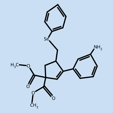 COC(=O)C1(C(=O)OC)C=C(c2cccc(N)c2)C(C[Se]c2ccccc2)C1